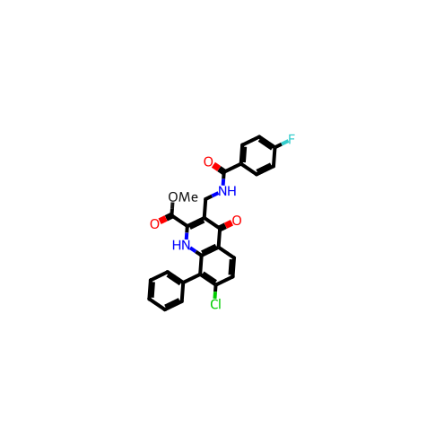 COC(=O)c1[nH]c2c(-c3ccccc3)c(Cl)ccc2c(=O)c1CNC(=O)c1ccc(F)cc1